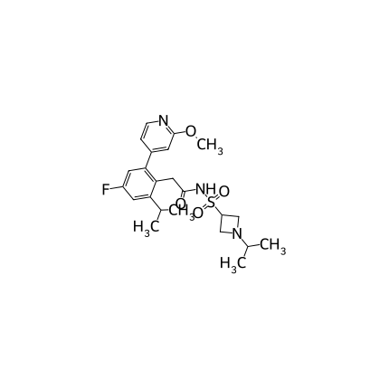 COc1cc(-c2cc(F)cc(C(C)C)c2CC(=O)NS(=O)(=O)C2CN(C(C)C)C2)ccn1